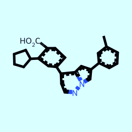 Cc1cccc(-c2cc3c(-c4ccc(C(=O)O)c(C5CCCC5)c4)ccnn3c2)c1